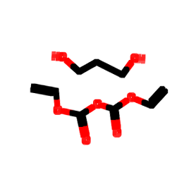 C=COC(=O)OC(=O)OC=C.OCCCO